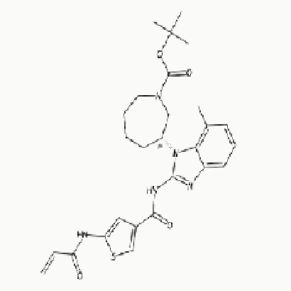 C=CC(=O)Nc1cc(C(=O)Nc2nc3cccc(C)c3n2[C@@H]2CCCCN(C(=O)OC(C)(C)C)C2)cs1